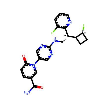 NC(=O)c1ccc(=O)n(-c2cnc(NC[C@H](c3ncccc3F)C3CC[C@@H]3F)nc2)c1